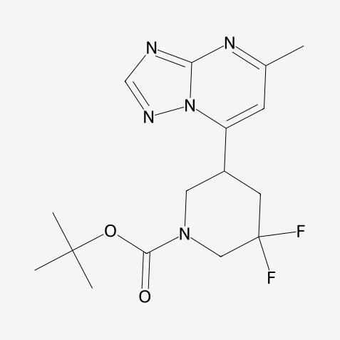 Cc1cc(C2CN(C(=O)OC(C)(C)C)CC(F)(F)C2)n2ncnc2n1